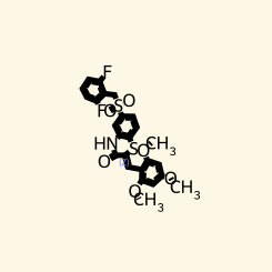 COc1cc(OC)c(/C=C2\Sc3ccc(S(=O)(=O)Cc4c(F)cccc4F)cc3NC2=O)c(OC)c1